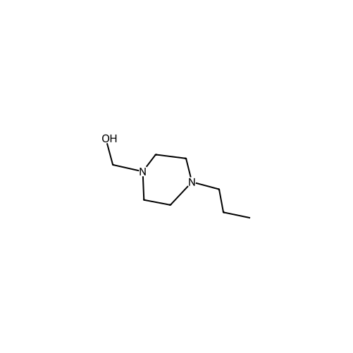 CCCN1CCN(CO)CC1